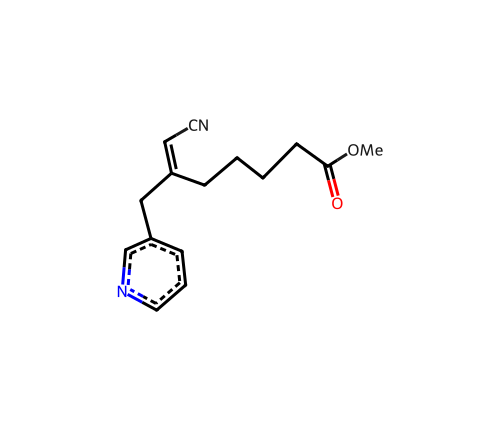 COC(=O)CCCC/C(=C\C#N)Cc1cccnc1